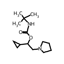 CC(C)(C)NC(=O)OC(CN1CCCC1)C1CC1